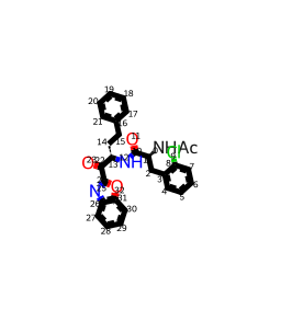 CC(=O)N[C@@H](Cc1ccccc1Cl)C(=O)N[C@@H](CCc1ccccc1)C(=O)c1nc2ccccc2o1